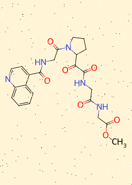 COC(=O)CNC(=O)CNC(=O)C(=O)C1CCCN1C(=O)CNC(=O)c1ccnc2ccccc12